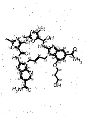 CCc1nc(C)oc1C(=O)Nc1nc2cc(C(N)=O)cnc2n1C/C=C/Cn1c(NC(O)c2oc(C)nc2CC)nc2cc(C(N)=O)cc(OCCCO)c21